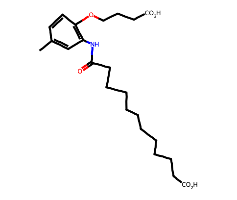 Cc1ccc(OCCCC(=O)O)c(NC(=O)CCCCCCCCCCC(=O)O)c1